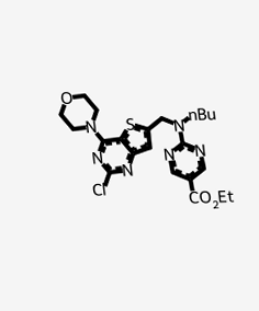 CCCCN(Cc1cc2nc(Cl)nc(N3CCOCC3)c2s1)c1ncc(C(=O)OCC)cn1